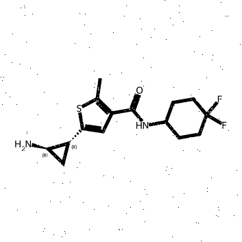 Cc1sc([C@@H]2C[C@H]2N)cc1C(=O)NC1CCC(F)(F)CC1